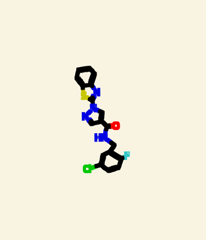 O=C(NCc1cc(Cl)ccc1F)c1cnn(-c2nc3ccccc3s2)c1